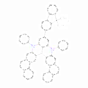 CC1(C)c2ccccc2-c2ccc(-c3cc4c5c(c3)N(c3ccccc3)c3cc6ccc7ccccc7c6cc3B5c3cc5c(ccc6ccccc65)cc3N4c3ccccc3)cc21